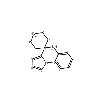 c1ccc2c(c1)NC1(CCNCC1)c1cccn1-2